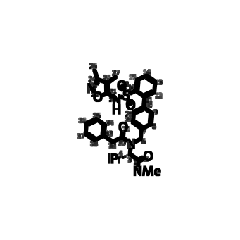 CNC(=O)[C@H](C(C)C)N(Cc1ccc(-c2ccccc2S(=O)(=O)Nc2onc(C)c2C)cc1)C(=O)Cc1ccccc1